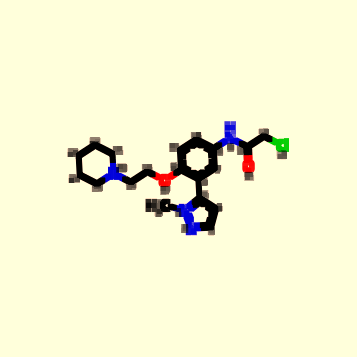 Cn1nccc1-c1cc(NC(=O)CCl)ccc1OCCN1CCCCC1